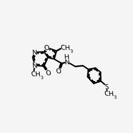 CSc1ccc(CCNC(=O)c2c(C)oc3ncn(C)c(=O)c23)cc1